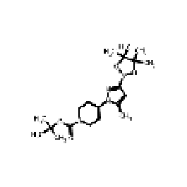 Cc1cc(B2OC(C)(C)C(C)(C)O2)nn1C1CCN(C(=O)OC(C)(C)C)CC1